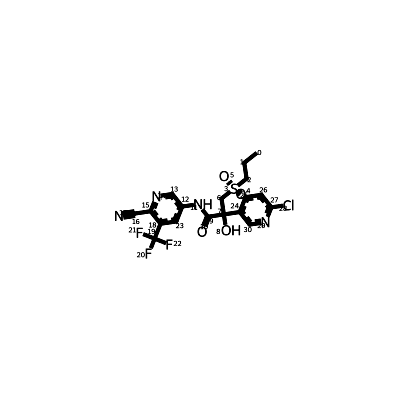 CCCS(=O)(=O)CC(O)(C(=O)Nc1cnc(C#N)c(C(F)(F)F)c1)c1ccc(Cl)nc1